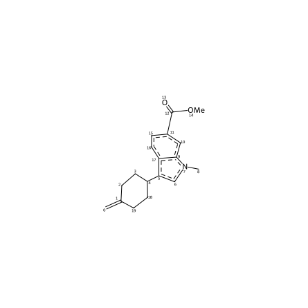 C=C1CCC(c2cn(C)c3cc(C(=O)OC)ccc23)CC1